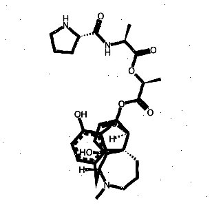 C[C@H](NC(=O)[C@@H]1CCCN1)C(=O)O[C@@H](C)C(=O)OC1=CC[C@@]2(O)[C@H]3Cc4ccc(O)c5c4[C@@]2(CCCN3C)[C@H]1O5